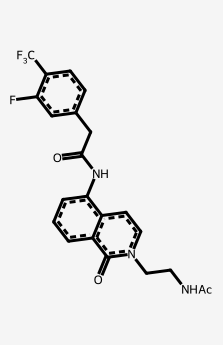 CC(=O)NCCn1ccc2c(NC(=O)Cc3ccc(C(F)(F)F)c(F)c3)cccc2c1=O